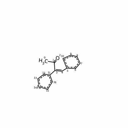 CC(=O)C(=Cc1ccccc1)c1ccncc1